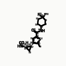 Cc1sc(C(=O)NC2CCC(F)(F)CC2)cc1[C@@H]1C[C@H]1NC(=O)O